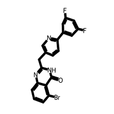 O=c1[nH]c(Cc2ccc(-c3cc(F)cc(F)c3)nc2)nc2cccc(Br)c12